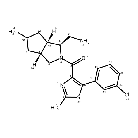 Cc1nc(C(=O)N2C[C@@H]3CC(C)C[C@@H]3[C@H]2CN)c(-c2cccc(Cl)c2)s1